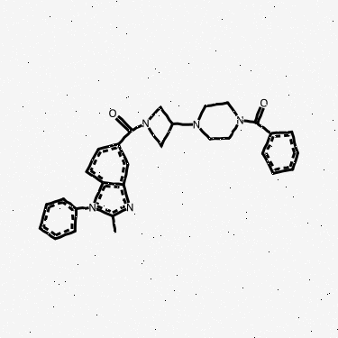 Cc1nc2cc(C(=O)N3CC(N4CCN(C(=O)c5ccccc5)CC4)C3)ccc2n1-c1ccccc1